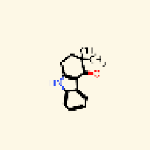 CC1(C)CCc2[nH]c3ccccc3c2C1=O